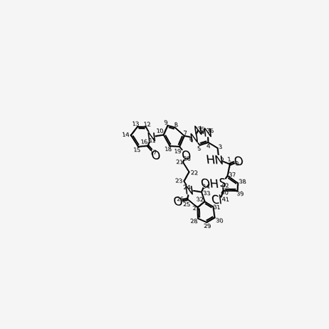 O=C(NCc1cn(-c2ccc(-n3ccccc3=O)cc2OCCCN2C(=O)c3ccccc3C2O)nn1)c1ccc(Cl)s1